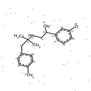 Cc1ccc(CC(C)(C)NCC(O)c2cccc(Cl)c2)cc1